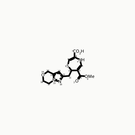 COC(=O)C1=CNC(C(=O)O)=CSC1Cc1cc2n(n1)CCOC2